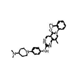 Cc1cn(-c2ccccc2Cl)c(=O)c2cnc(Nc3ccc(N4CCC(N(C)C)CC4)cc3)nc12